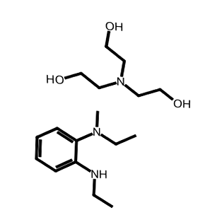 CCNc1ccccc1N(C)CC.OCCN(CCO)CCO